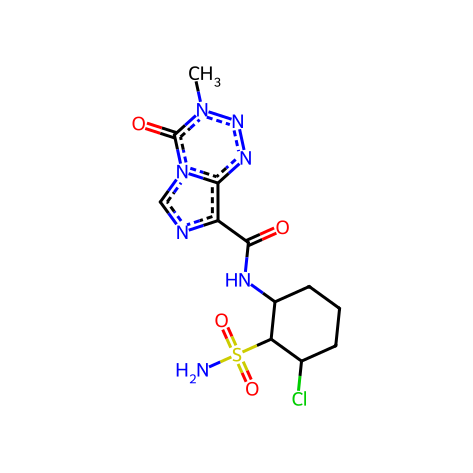 Cn1nnc2c(C(=O)NC3CCCC(Cl)C3S(N)(=O)=O)ncn2c1=O